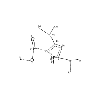 COC(=O)c1[nH]c(C(C)C)cc1C(C)C